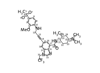 COc1cc(S(C)(=O)=O)ccc1NCC#Cc1cc(C(=O)N[C@H]2CC[C@H](N(C)C)C[C@@H]2C)c2ncn(CC(F)(F)F)c2c1